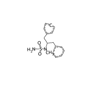 CN(C(Cc1ccccc1)Cc1ccccc1)S(N)(=O)=O